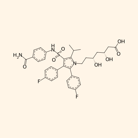 CC(C)c1c(S(=O)(=O)Nc2ccc(C(N)=O)cc2)c(-c2ccc(F)cc2)c(-c2ccc(F)cc2)n1CC[C@@H](O)C[C@@H](O)CC(=O)O